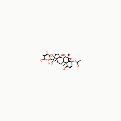 CC(=O)O[C@H]1C=CC(=O)[C@]2(C)C3CC[C@]4(C)[C@](O)([C@@](C)(O)C5CC(C)=C(C)C(=O)O5)CC[C@@]4(O)C3C[C@H]3O[C@]132